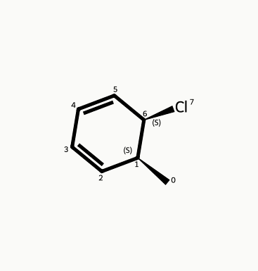 C[C@H]1C=CC=C[C@H]1Cl